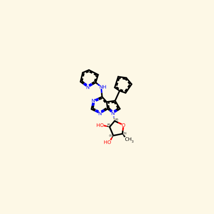 C[C@@H]1O[C@@H](n2cc(-c3ccccc3)c3c(Nc4ccccn4)ncnc32)[C@H](O)[C@@H]1O